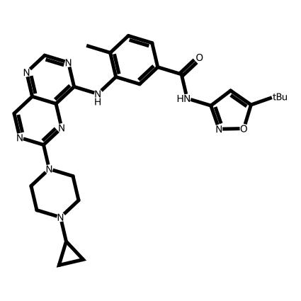 Cc1ccc(C(=O)Nc2cc(C(C)(C)C)on2)cc1Nc1ncnc2cnc(N3CCN(C4CC4)CC3)nc12